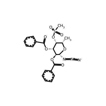 C[C@@H]1O[C@H](N=[N+]=[N-])[C@@H](OC(=O)c2ccccc2)[C@H](OC(=O)c2ccccc2)[C@@H]1OS(C)(=O)=O